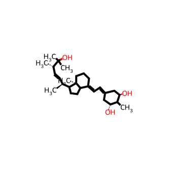 CC1[C@H](O)CC(=C/C=C2\CCC[C@@]3(C)C2CCC3[C@@H](C)/C=C/[C@H](C)C(C)(C)O)C[C@H]1O